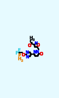 CC(=O)c1cc(Cn2nc(-c3cnc(OCC(F)(F)P)nc3)ccc2=O)on1